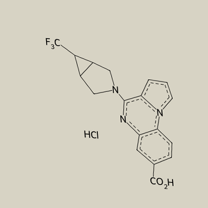 Cl.O=C(O)c1ccc2c(c1)nc(N1CC3C(C1)C3C(F)(F)F)c1cccn12